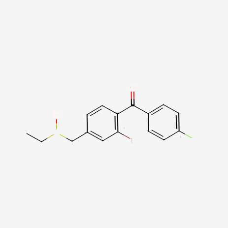 CC[S+]([O-])Cc1ccc(C(=O)c2ccc(F)cc2)c(Br)c1